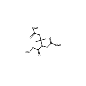 CCCCOC(=O)N(CC(=O)OC)C(C)(C)CC(=O)OC